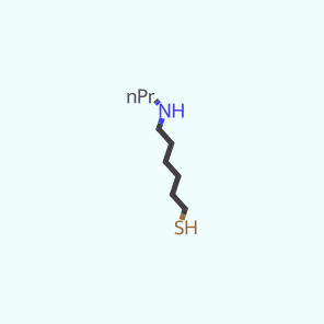 CCCNCCCCCCS